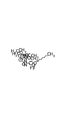 CCCCCCCCCOc1ccc(-c2noc(C3CCCN3/C(=N/C(=O)OC(C)(C)C)NC(=O)OC(C)(C)C)n2)cc1C(F)(F)F